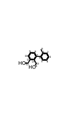 Cc1ccccc1-c1cccc(CO)c1CO